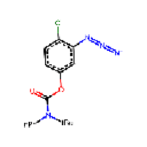 CCCN(C(=O)Oc1ccc(Cl)c(N=[N+]=[N-])c1)C(C)(C)C